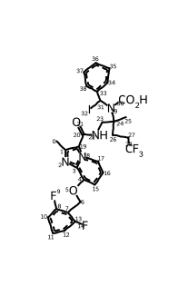 Cc1nc2c(OCc3c(F)cccc3F)cccn2c1C(=O)NCC(C)(CCC(F)(F)F)N(C(=O)O)C(I)c1ccccc1